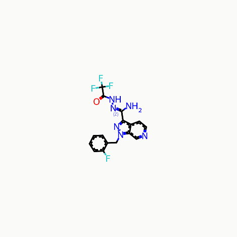 N/C(=N\NC(=O)C(F)(F)F)c1nn(Cc2ccccc2F)c2cnccc12